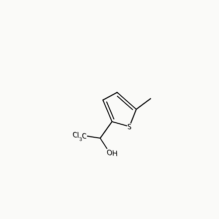 Cc1ccc(C(O)C(Cl)(Cl)Cl)s1